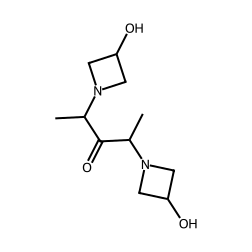 CC(C(=O)C(C)N1CC(O)C1)N1CC(O)C1